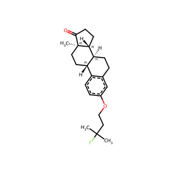 CC(C)(F)CCOc1ccc2c(c1)CC[C@@H]1[C@H]3CCC(=O)[C@]3(C)CC[C@@H]21